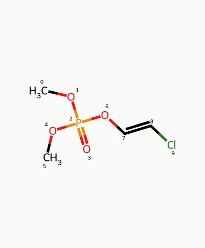 COP(=O)(OC)OC=CCl